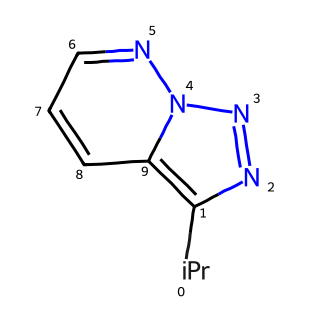 CC(C)c1nnn2ncccc12